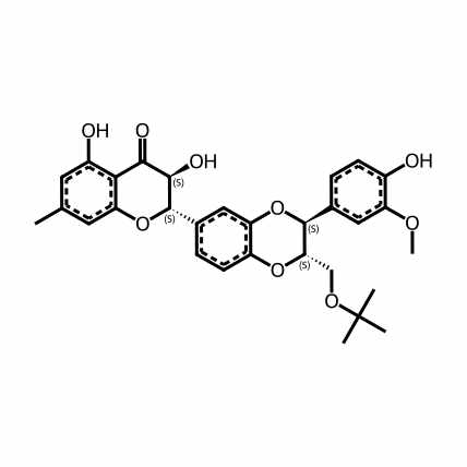 COc1cc([C@@H]2Oc3cc([C@@H]4Oc5cc(C)cc(O)c5C(=O)[C@H]4O)ccc3O[C@H]2COC(C)(C)C)ccc1O